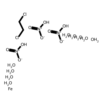 ClCCCl.O.O.O.O.O.O.O.O.O.O=[N+]([O-])O.O=[N+]([O-])O.O=[N+]([O-])O.[Fe]